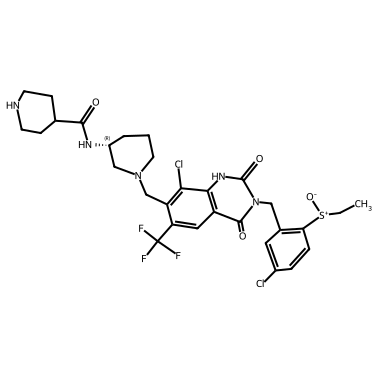 CC[S+]([O-])c1ccc(Cl)cc1Cn1c(=O)[nH]c2c(Cl)c(CN3CCC[C@@H](NC(=O)C4CCNCC4)C3)c(C(F)(F)F)cc2c1=O